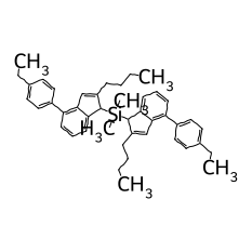 CCCCC1=Cc2c(-c3ccc(CC)cc3)cccc2C1[Si](C)(C)C1C(CCCC)=Cc2c(-c3ccc(CC)cc3)cccc21